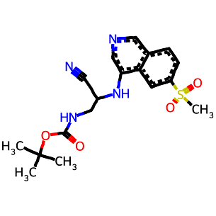 CC(C)(C)OC(=O)NCC(C#N)Nc1cncc2ccc(S(C)(=O)=O)cc12